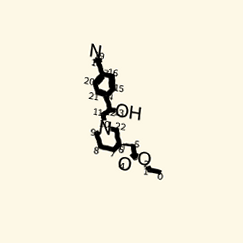 CCOC(=O)C[C@H]1CCCN(CC(O)c2ccc(C#N)cc2)C1